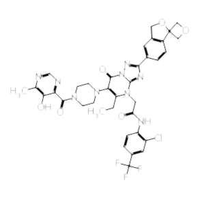 CCc1c(N2CCN(C(=O)c3ncnc(C)c3O)CC2)c(=O)n2nc(-c3ccc4c(c3)COC43COC3)nc2n1CC(=O)Nc1ccc(C(F)(F)F)cc1Cl